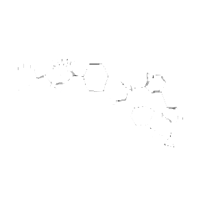 C=C(/C=N\C(OC)=C(C)C)[C@H]1CC[C@H](CN(c2cc(-c3coc(C4CC4)n3)ccn2)C(=O)[C@H]2CC[C@H](O)CC2)CC1